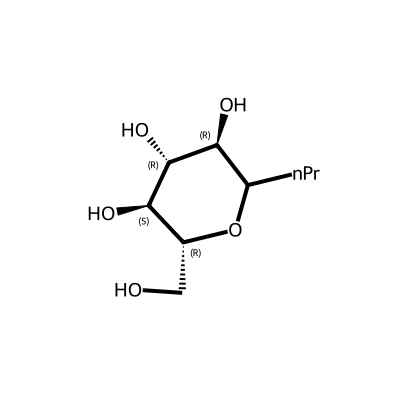 [CH2]CCC1O[C@H](CO)[C@@H](O)[C@H](O)[C@H]1O